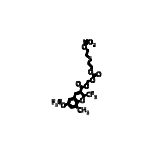 Cc1cc(OC(F)(F)F)cc2c1OC(C(F)(F)F)C(C(=O)OCOC(=O)OCCSCCO[N+](=O)[O-])=C2